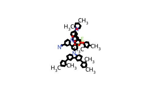 Cc1ccc(-c2ccc3c(c2)c2cc(-c4ccc(C)cc4C)ccc2n3-c2ccc(-c3ccc(C#N)cc3C(F)(F)F)c(-c3cc(C#N)ccc3-n3c4ccc(-c5ccc(C)cc5C)cc4c4cc(-c5ccc(C)cc5C)ccc43)c2)c(C)c1